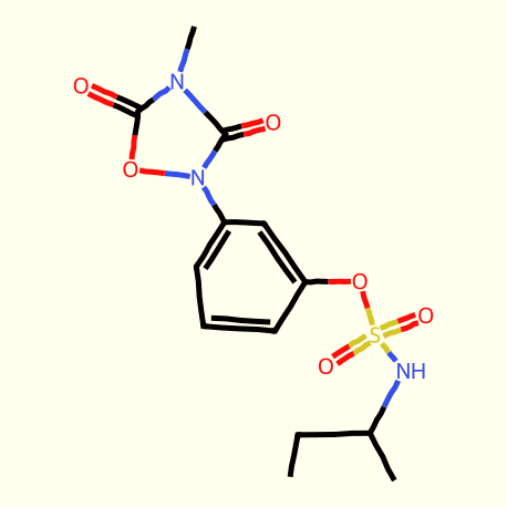 CCC(C)NS(=O)(=O)Oc1cccc(-n2oc(=O)n(C)c2=O)c1